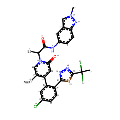 CCC(C(=O)Nc1ccc2nn(C)cc2c1)n1cc(OC)c(-c2cc(Cl)ccc2-c2nnc(C(C)(F)F)s2)cc1=O